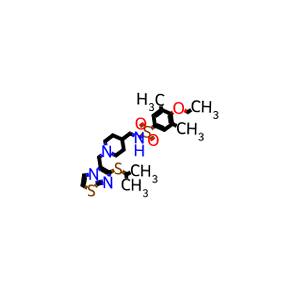 CCOc1c(C)cc(S(=O)(=O)NCC2CCN(Cc3c(SC(C)C)nc4sccn34)CC2)cc1C